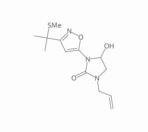 C=CCN1CC(O)N(c2cc(C(C)(C)SC)no2)C1=O